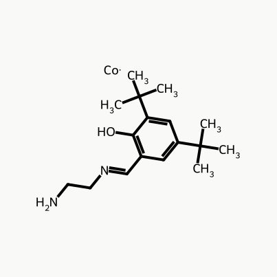 CC(C)(C)c1cc(C=NCCN)c(O)c(C(C)(C)C)c1.[Co]